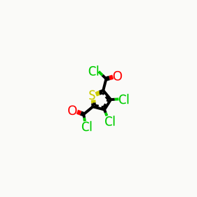 O=C(Cl)c1sc(C(=O)Cl)c(Cl)c1Cl